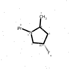 CC(C)N1C[C@@H](F)CC1C